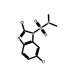 CN(C)S(=O)(=O)n1c(Cl)nc2ccc(Cl)cc21